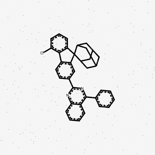 Clc1cccc2c1-c1ccc(-c3nc(-c4ccccc4)c4ccccc4n3)cc1C21C2CC3CC(C2)CC1C3